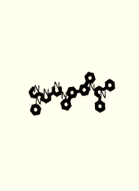 c1ccc(-c2cc(-n3c4ccccc4c4cc(-c5ccc6c(c5)c5ccccc5n6-c5cncc(-c6ccc7c(n6)c6ncccc6n7-c6ccccc6)c5)ccc43)cc(-c3ccccc3)n2)cc1